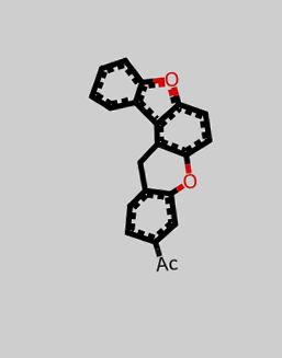 CC(=O)c1ccc2c(c1)Oc1ccc3oc4ccccc4c3c1C2